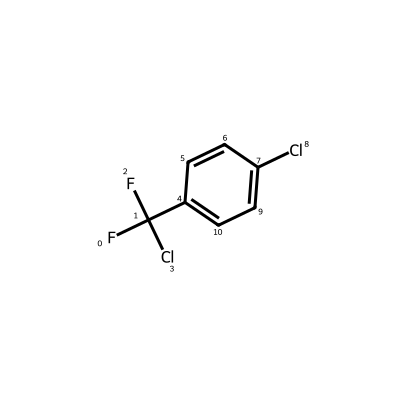 FC(F)(Cl)c1ccc(Cl)cc1